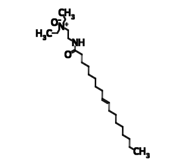 CCCCCCCCC=CCCCCCCCC(=O)NCC[N+]([O-])(CC)CC